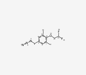 Cc1cc(CN=[N+]=[N-])cc(C)c1OCC(F)F